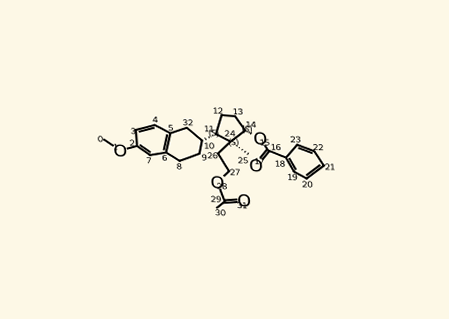 COc1ccc2c(c1)CCC([C@@H]1CC[C@H](OC(=O)c3ccccc3)[C@@]1(C)CCOC(C)=O)C2